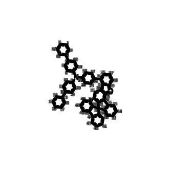 c1ccc(-c2ccc(N(c3ccc(-c4ccccc4)cc3)c3ccc(-c4cccc5oc6c7c(ccc6c45)C4(c5ccccc5-c5ccccc54)c4ccccc4-7)cc3)cc2)cc1